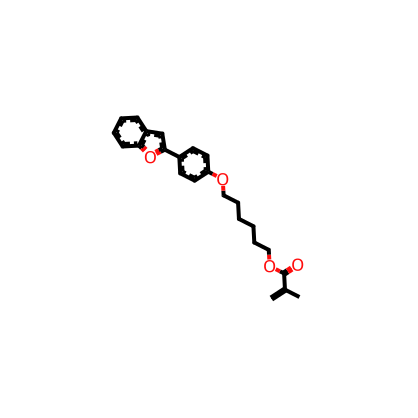 C=C(C)C(=O)OCCCCCCOc1ccc(-c2cc3ccccc3o2)cc1